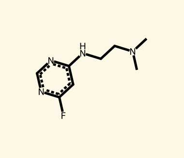 CN(C)CCNc1cc(F)ncn1